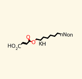 CCCCCCCCCCCCCCCCOC(=O)/C=C/C(=O)O.[KH]